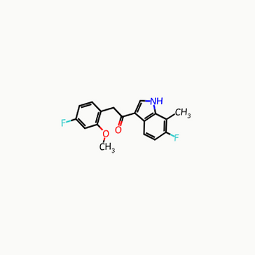 COc1cc(F)ccc1CC(=O)c1c[nH]c2c(C)c(F)ccc12